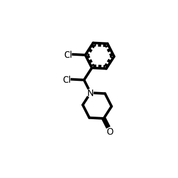 O=C1CCN(C(Cl)c2ccccc2Cl)CC1